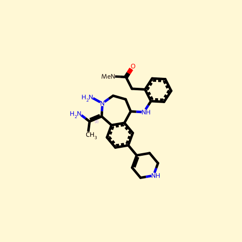 CNC(=O)Cc1ccccc1NC1CCN(N)/C(=C(/C)N)c2ccc(C3=CCNCC3)cc21